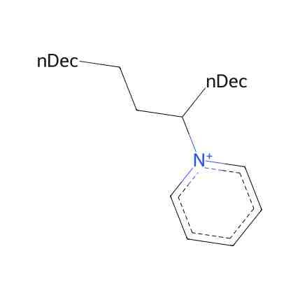 CCCCCCCCCCCCC(CCCCCCCCCC)[n+]1ccccc1